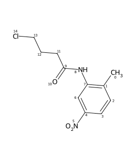 Cc1ccc([N+](=O)[O-])cc1NC(=O)CCCCl